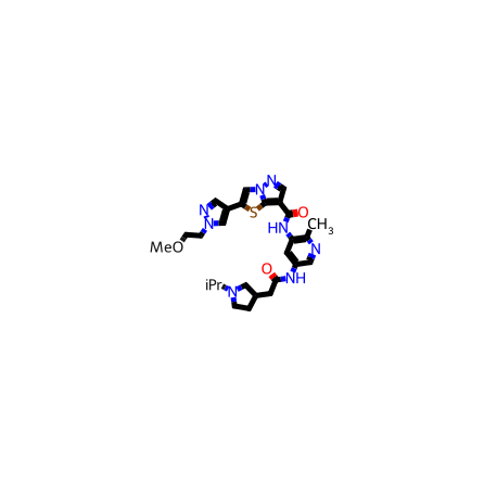 COCCn1cc(-c2cn3ncc(C(=O)Nc4cc(NC(=O)CC5CCN(C(C)C)C5)cnc4C)c3s2)cn1